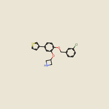 Clc1cccc(COc2ccc(-c3ccsc3)cc2OC2CNC2)c1